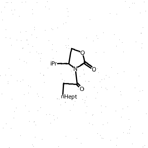 CCCCCCCCC(=O)N1C(=O)OCC1C(C)C